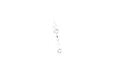 CCC[C@H]1CC[C@H](c2ccc(C#C/C=C/[C@H]3CC[C@H](c4ccc(OCC)cc4)CC3)cc2)CC1